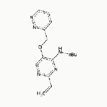 C=Cc1ncc(OCc2cccnn2)c(NCCCC)n1